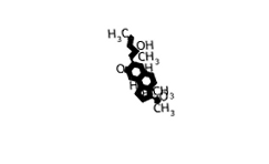 CCCC(C)(O)C[C@H]1C[C@H]2CC[C@]3(C)[C@@H](C(C)=O)CC[C@H]3[C@@H]2CC1=O